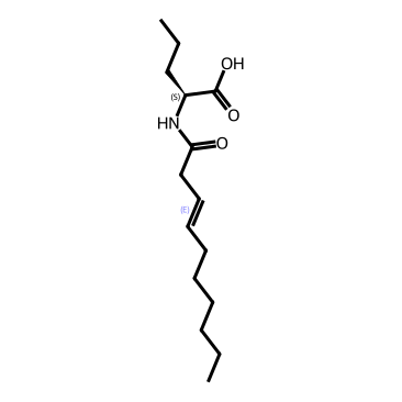 CCCCCC/C=C/CC(=O)N[C@@H](CCC)C(=O)O